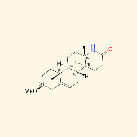 CO[C@H]1CC[C@@]2(C)C(=CC[C@@H]3[C@@H]2CC[C@]2(C)NC(=O)CC[C@@H]32)C1